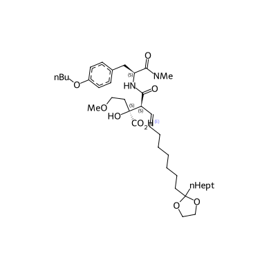 CCCCCCCC1(CCCCCC/C=C/[C@H](C(=O)N[C@@H](Cc2ccc(OCCCC)cc2)C(=O)NC)[C@@](O)(CCOC)C(=O)O)OCCO1